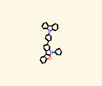 c1ccc(-n2c3cc(-c4ccc(-n5c6ccccc6c6ccccc65)cc4)ccc3c3c4ccccc4oc32)cc1